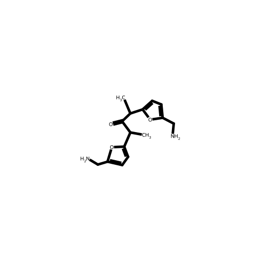 CC(C(=O)C(C)c1ccc(CN)o1)c1ccc(CN)o1